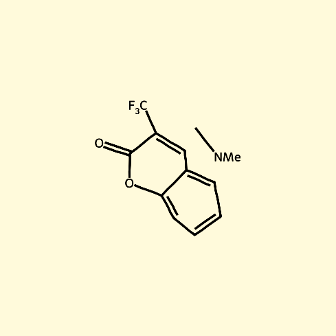 CNC.O=c1oc2ccccc2cc1C(F)(F)F